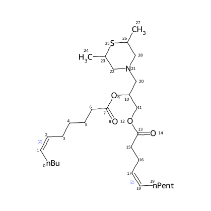 CCCC/C=C\CCCCC(=O)OC(COC(=O)CC/C=C\CCCCC)CN1CC(C)SC(C)C1